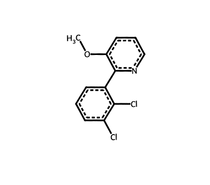 COc1cccnc1-c1cccc(Cl)c1Cl